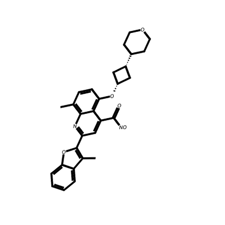 Cc1c(-c2cc(C(=O)N=O)c3c(O[C@H]4C[C@@H](C5CCOCC5)C4)ccc(C)c3n2)oc2ccccc12